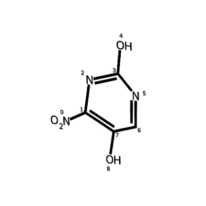 O=[N+]([O-])c1nc(O)ncc1O